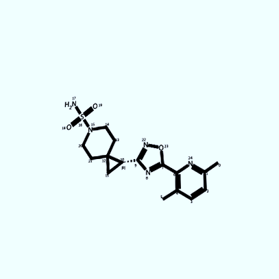 Cc1ccc(C)c(-c2nc([C@@H]3CC34CCN(S(N)(=O)=O)CC4)no2)n1